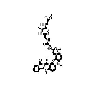 COC(=O)CNC(=O)[C@H](C)NC(=O)CNC(=O)CNC(=O)Cc1c(OC)ccc2c1Sc1c(ccc(OC)c1C(=O)N1Cc3ccccc3C1=O)N2C